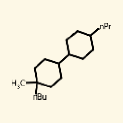 CCCCC1(C)CCC(C2CCC(CCC)CC2)CC1